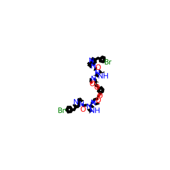 C[C@@H]1CN(CC(=O)N2CC(C)(C)c3ncc(Cc4ccc(Br)cc4)cc32)[C@@H](CN2CCO[C@H](COc3cccc(OC[C@@H]4CN(C[C@H]5CN[C@H](C)CN5CC(=O)N5CC(C)(C)c6ncc(Cc7ccc(Br)cc7)cc65)CCO4)c3)C2)CN1